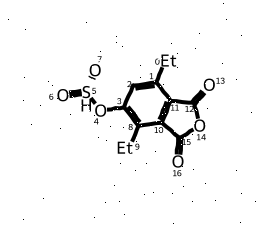 CCc1cc(O[SH](=O)=O)c(CC)c2c1C(=O)OC2=O